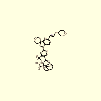 O=C(NC1(C(=O)O)C2CC3CC(C2)CC1C3)c1cnc(N2CC3(CCOCC3)c3nc(/C=C/CC4CCOCC4)ccc32)nc1C(F)(F)F